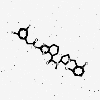 CN(C(=O)C1CCCc2sc(NC(=O)Cc3cc(F)cc(F)c3)nc21)C1CCN(Cc2c(Cl)cccc2Cl)C1